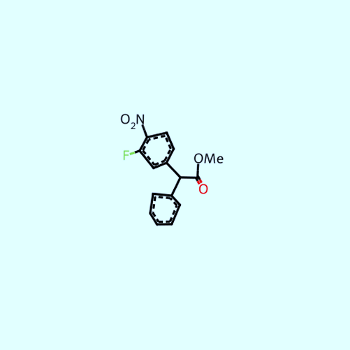 COC(=O)C(c1ccccc1)c1ccc([N+](=O)[O-])c(F)c1